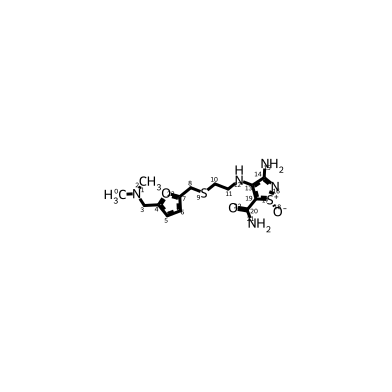 CN(C)Cc1ccc(CSCCNc2c(N)n[s+]([O-])c2C(N)=O)o1